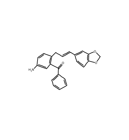 Nc1ccc(C/C=C/c2ccc3c(c2)OCO3)c(C(=O)c2ccccc2)c1